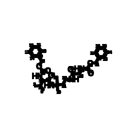 CC(C)C(NC(=O)OCc1ccccc1)C(=O)NC(C)(C)CCNC(=O)CNC(=O)OCc1ccccc1